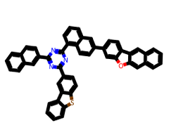 c1ccc2cc(-c3nc(-c4ccc5sc6ccccc6c5c4)nc(-c4cccc5cc(-c6ccc7c(c6)oc6cc8ccccc8cc67)ccc45)n3)ccc2c1